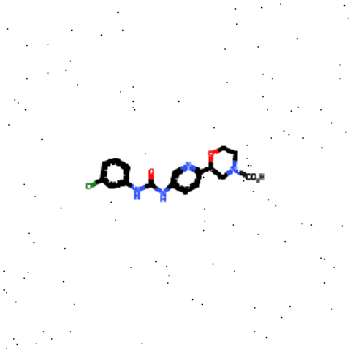 O=C(Nc1ccc(C2CN(C(=O)O)CCO2)nc1)Nc1cccc(Cl)c1